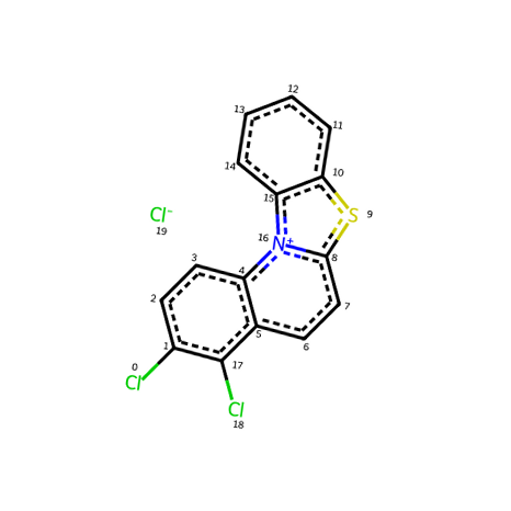 Clc1ccc2c(ccc3sc4ccccc4[n+]32)c1Cl.[Cl-]